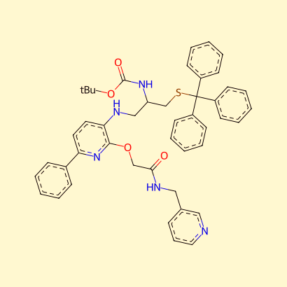 CC(C)(C)OC(=O)NC(CNc1ccc(-c2ccccc2)nc1OCC(=O)NCc1cccnc1)CSC(c1ccccc1)(c1ccccc1)c1ccccc1